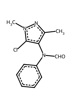 Cc1nn(C)c(Cl)c1N(C=O)c1ccccc1